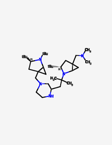 CN(C)CC12CC1N(C(C)(C)CC1CN(CC34CC3N(C(C)(C)C)[C@H](C(C)(C)C)C4)CCN1)[C@H](C(C)(C)C)C2